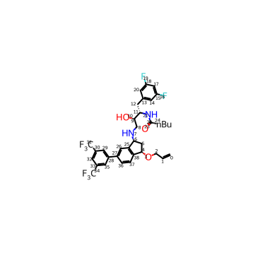 C=CCO[C@@H]1C[C@H](NC[C@@H](O)[C@H](Cc2cc(F)cc(F)c2)NC(=O)CCCC)c2cc(-c3cc(C(F)(F)F)cc(C(F)(F)F)c3)ccc21